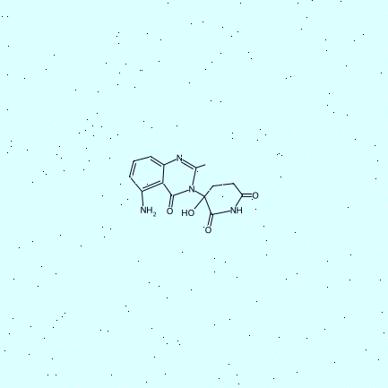 Cc1nc2cccc(N)c2c(=O)n1C1(O)CCC(=O)NC1=O